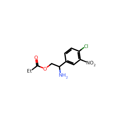 CCC(=O)OCC(N)c1ccc(Cl)c([N+](=O)[O-])c1